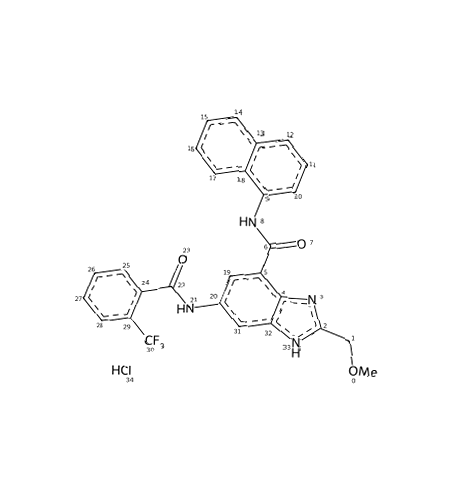 COCc1nc2c(C(=O)Nc3cccc4ccccc34)cc(NC(=O)c3ccccc3C(F)(F)F)cc2[nH]1.Cl